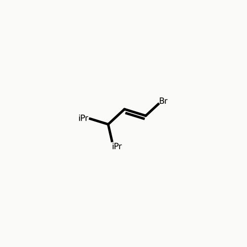 CC(C)C(C=CBr)C(C)C